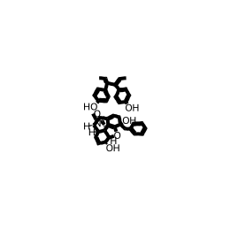 C/C=C(/C(=C/C)c1ccc(O)cc1)c1ccc(O)cc1.CN1CC[C@]23C4=C5O[C@H]2[C@@H](O)C=C[C@H]3[C@H]1C(=O)C4=CCC5(O)Cc1ccccc1